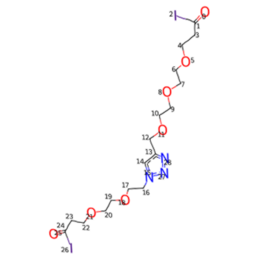 O=C(I)CCOCCOCCOCc1cn(CCOCCOCCC(=O)I)nn1